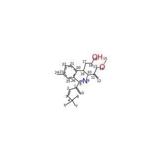 C=C(/C=C\C(C)(C)C)C1=NC(C(=C)COC)C(CCO)c2ccc(C)cc21